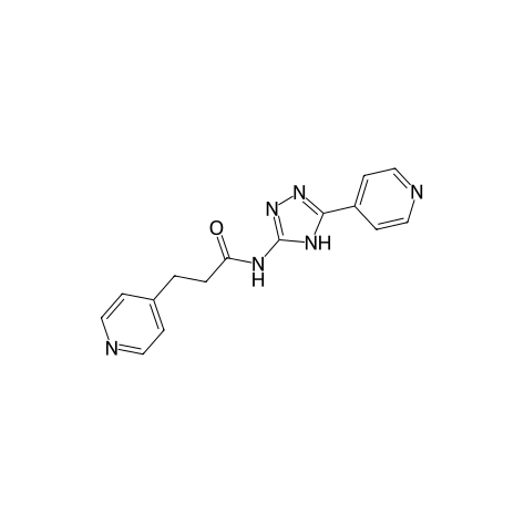 O=C(CCc1ccncc1)Nc1nnc(-c2ccncc2)[nH]1